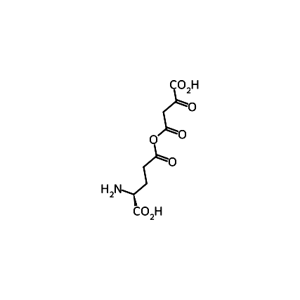 N[C@@H](CCC(=O)OC(=O)CC(=O)C(=O)O)C(=O)O